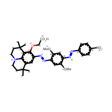 COc1cc(N=Nc2cc3c4c(c2OCC(=O)O)C(C)(C)CCN4CCC3(C)C)c(OC)cc1N=Nc1ccc([N+](=O)[O-])cc1